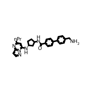 CCCc1cc(N[C@@H]2CCC(NC(=O)c3ccc(-c4ccc(CN)cc4)cc3)C2)n2nccc2n1